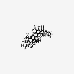 CN(C)c1c(Cl)c(NC(=O)CN2CCCC2)c(O)c2c1CC1CC3[C@H](N(C)C)C(O)=C(C(N)=O)C(=O)[C@@]3(O)C(O)=C1C2=O